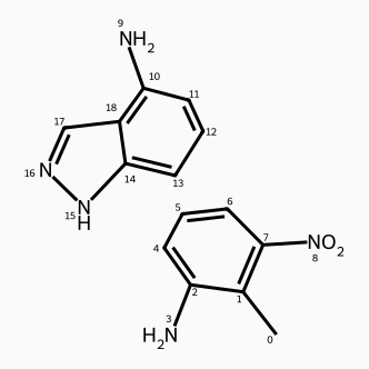 Cc1c(N)cccc1[N+](=O)[O-].Nc1cccc2[nH]ncc12